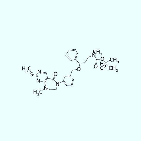 CSc1ncc2c(n1)N(C)CCN(c1cccc(CO[C@@H](CCN(C)C(=O)OC(C)(C)C)c3ccccc3)c1)C2=O